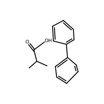 CC(C)C(=O)O.c1ccc(-c2ccccc2)cc1